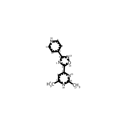 Cc1cc(-c2nc(-c3ccncc3)no2)nc(C)n1